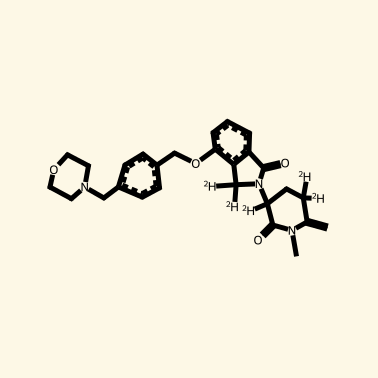 [2H]C1([2H])CC([2H])(N2C(=O)c3cccc(OCc4ccc(CN5CCOCC5)cc4)c3C2([2H])[2H])C(=O)N(C)C1=C